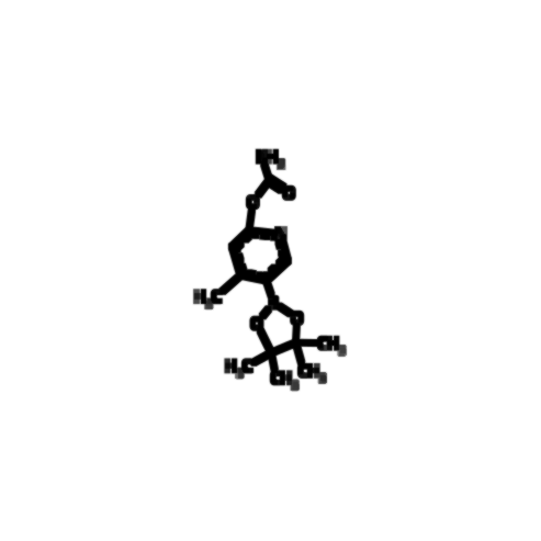 Cc1cc(OC(N)=O)ncc1B1OC(C)(C)C(C)(C)O1